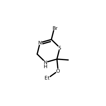 CCOC1(C)NCN=C(Br)S1